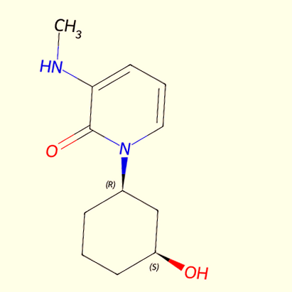 CNc1cccn([C@@H]2CCC[C@H](O)C2)c1=O